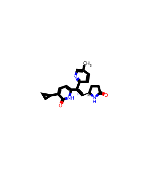 Cc1ccc(/C(=C\[C@H]2CCC(=O)N2)c2ccc(C3CC3)c(=O)[nH]2)nc1